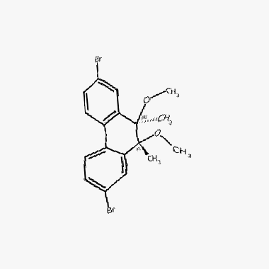 CO[C@]1(C)c2cc(Br)ccc2-c2ccc(Br)cc2[C@@]1(C)OC